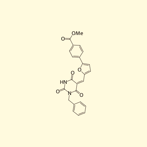 COC(=O)c1ccc(-c2ccc(C=C3C(=O)NC(=O)N(Cc4ccccc4)C3=O)o2)cc1